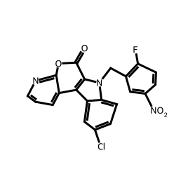 O=c1oc2ncccc2c2c3cc(Cl)ccc3n(Cc3cc([N+](=O)[O-])ccc3F)c12